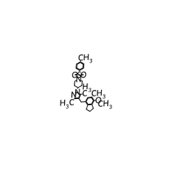 COc1c(C)cc(Cc2c(C)nn(C3CCN(S(=O)(=O)c4ccc(C)cc4)CC3)c2C)c2c1CCC2